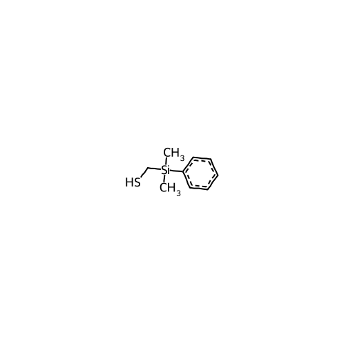 C[Si](C)(CS)c1ccccc1